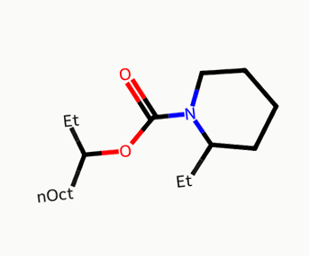 CCCCCCCCC(CC)OC(=O)N1CCCCC1CC